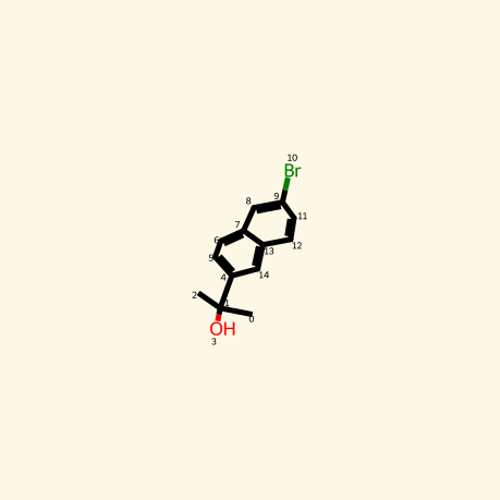 CC(C)(O)c1ccc2cc(Br)ccc2c1